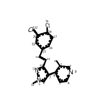 Cc1cnccc1-c1cn(C)nc1/C=C/c1ccc(Cl)c(Cl)c1